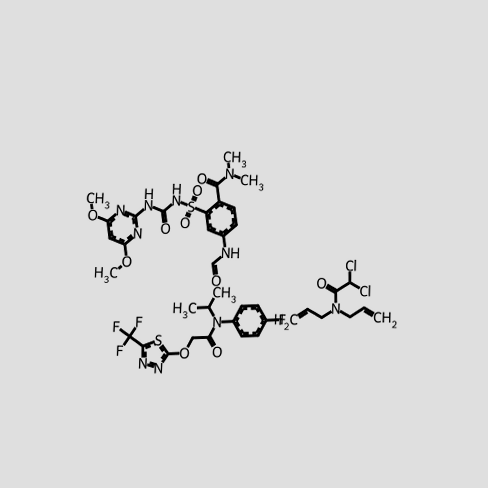 C=CCN(CC=C)C(=O)C(Cl)Cl.CC(C)N(C(=O)COc1nnc(C(F)(F)F)s1)c1ccc(F)cc1.COc1cc(OC)nc(NC(=O)NS(=O)(=O)c2cc(NC=O)ccc2C(=O)N(C)C)n1